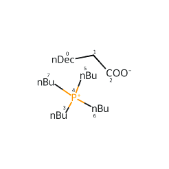 CCCCCCCCCCCC(=O)[O-].CCCC[P+](CCCC)(CCCC)CCCC